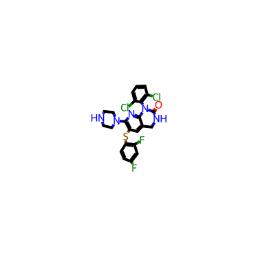 O=C1NCc2cc(Sc3ccc(F)cc3F)c(N3CCNCC3)nc2N1c1c(Cl)cccc1Cl